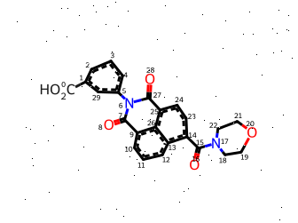 O=C(O)c1cccc(N2C(=O)c3cccc4c(C(=O)N5CCOCC5)ccc(c34)C2=O)c1